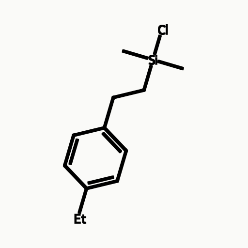 CCc1ccc(CC[Si](C)(C)Cl)cc1